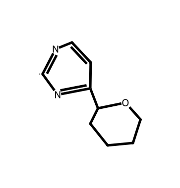 [c]1nccc(C2CCCCO2)n1